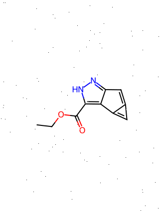 CCOC(=O)c1[nH]nc2cc3cc-3c12